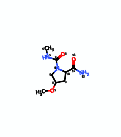 CNC(=O)N1CC(OC)CC1C(N)=O